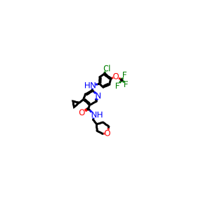 O=C(NCC1CCOCC1)c1cnc(Nc2ccc(OC(F)(F)F)c(Cl)c2)cc1C1CC1